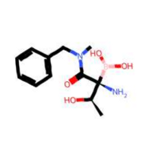 C[C@@H](O)[C@@](N)(B(O)O)C(=O)N(C)Cc1ccccc1